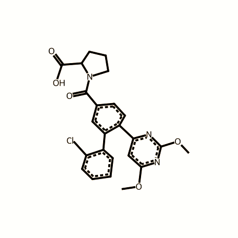 COc1cc(-c2ccc(C(=O)N3CCCC3C(=O)O)cc2-c2ccccc2Cl)nc(OC)n1